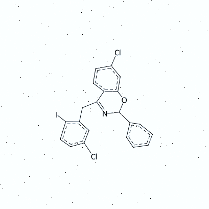 Clc1ccc(I)c(CC2=NC(c3ccccc3)Oc3cc(Cl)ccc32)c1